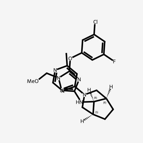 COCn1nc(N[C@H]2[C@@H]3CC[C@H]2CN(c2cc(C)ncn2)C3)nc1Oc1cc(F)cc(Cl)c1